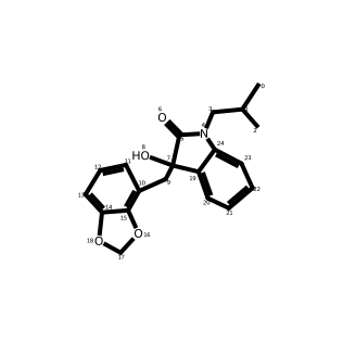 CC(C)CN1C(=O)C(O)(Cc2cccc3c2OCO3)c2ccccc21